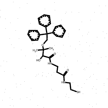 CC(C)(OCC(c1ccccc1)(c1ccccc1)c1ccccc1)C(O)C(=O)NCCC(=O)NCCS